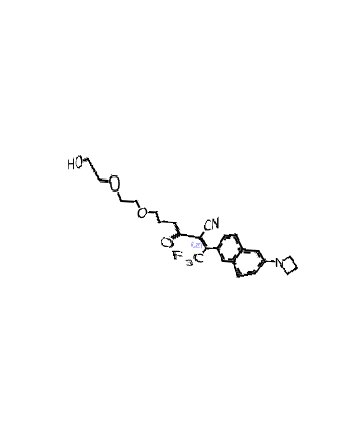 N#C/C(C(=O)CCCOCCOCCO)=C(\c1ccc2cc(N3CCC3)ccc2c1)C(F)(F)F